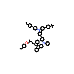 C=Cc1ccc(OCC(C)CCCCC2(c3ccccc3)c3ccccc3-c3ccc(N(c4ccccc4)c4ccc(-c5ccc6c(c5)c5cc(-c7ccc(C(C)(C)C)cc7)ccc5n6-c5ccc(-c6ccc(C=C)cc6)cc5)cc4)cc32)cc1